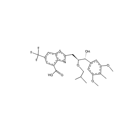 COc1cc([C@@H](O)[C@H](Cc2nc3c(C(=O)O)cc(C(F)(F)F)cc3s2)OCC(C)C)cc(OC)c1C